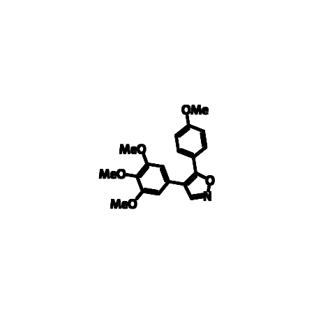 COc1ccc(-c2oncc2-c2cc(OC)c(OC)c(OC)c2)cc1